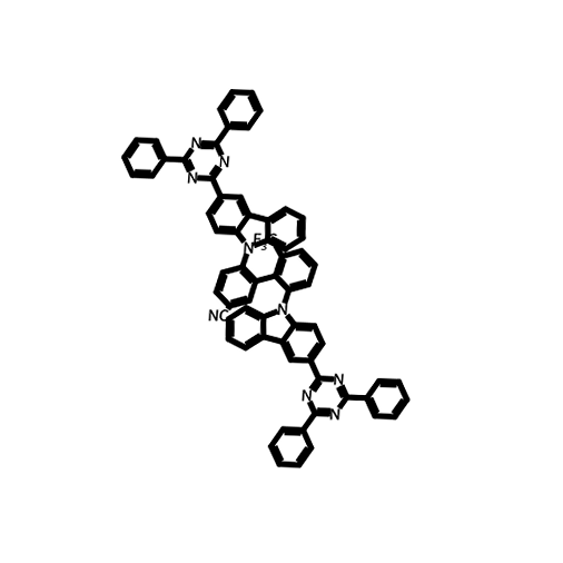 N#Cc1ccc(-n2c3ccccc3c3cc(-c4nc(-c5ccccc5)nc(-c5ccccc5)n4)ccc32)c(-c2c(-n3c4ccccc4c4cc(-c5nc(-c6ccccc6)nc(-c6ccccc6)n5)ccc43)cccc2C(F)(F)F)c1